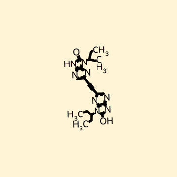 CCC(CC)n1c(O)nc2ncc(C#Cc3cnc4[nH]c(=O)n(C(CC)CC)c4n3)nc21